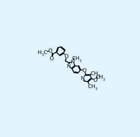 COC(=O)c1cccc(OCc2nc3ccc(Oc4ncc(C)c(OC)c4C)cc3n2C)c1